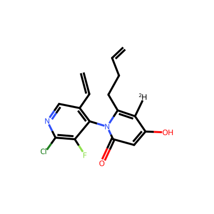 [2H]c1c(O)cc(=O)n(-c2c(C=C)cnc(Cl)c2F)c1CCC=C